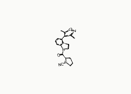 Cc1noc(C)c1-c1cccc2c1CCN2C(=O)C1CCCN1C#N